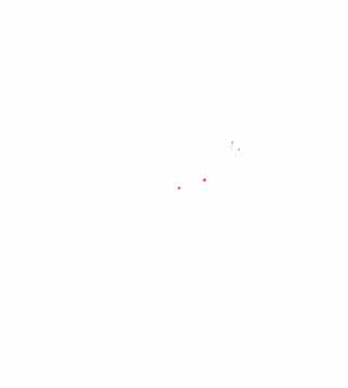 c1cc(-c2ccccc2N(c2ccc(-c3ccc4c(ccc5ccccc54)c3)cc2)c2cccc3oc4ccccc4c23)cc(-c2cccc3ccccc23)c1